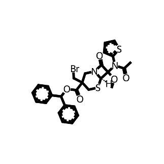 COC1(N(C(C)=O)c2cccs2)C(=O)N2CC(CBr)(C(=O)OC(c3ccccc3)c3ccccc3)CS[C@@H]21